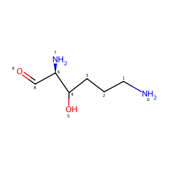 NCCCC(O)[C@H](N)C=O